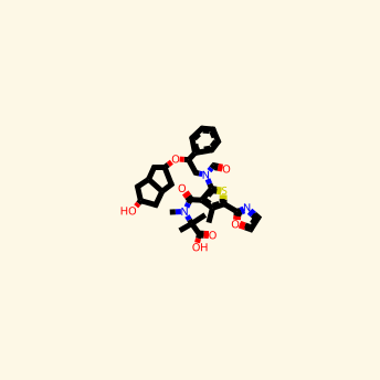 Cc1c(-c2ncco2)sc(N(C=O)CC(OC2CC3CC(O)CC3C2)c2ccccc2)c1C(=O)N(C)C(C)(C)C(=O)O